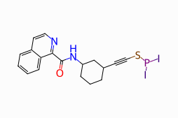 O=C(NC1CCCC(C#CSP(I)I)C1)c1nccc2ccccc12